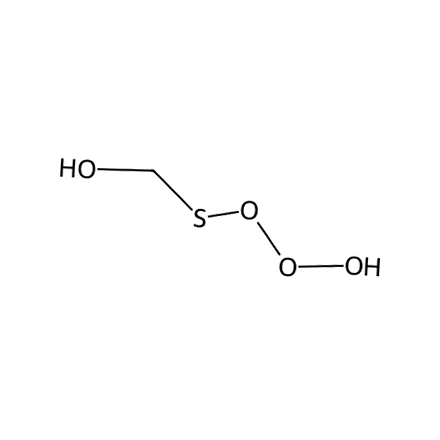 OCSOOO